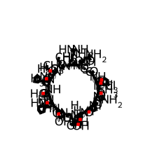 CCCC[C@H]1C(=O)N(C)[C@@H](CCCC)C(=O)N[C@@H](CCCNC(=N)N)C(=O)N[C@H](C(=O)NCC(N)=O)CSCC(=O)N[C@@H](Cc2ccc(Cl)cc2)C(=O)N(C)[C@@H](C)C(=O)N[C@@H](CC(N)=O)C(=O)N2CCC[C@H]2C(=O)N[C@@H](Cc2cnc[nH]2)C(=O)N[C@@H](CCC(=O)O)C(=O)N2C[C@H](O)C[C@H]2C(=O)N[C@@H](Cc2c[nH]c3ccccc23)C(=O)N[C@@H](CO)C(=O)N[C@@H](Cc2c[nH]c3ccccc23)C(=O)N1C